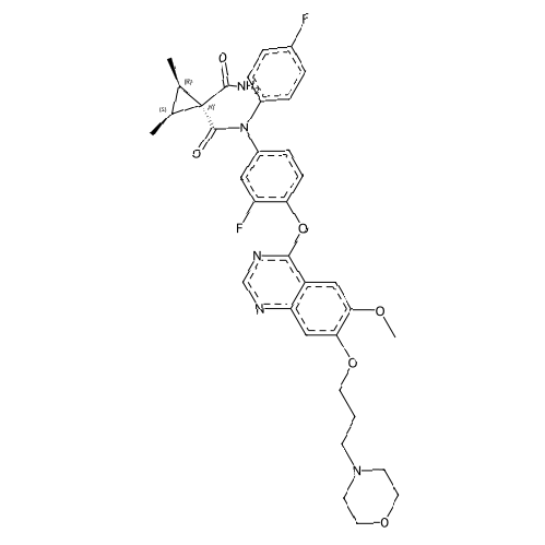 COc1cc2c(Oc3ccc(N(C(=O)[C@@]4(C(N)=O)[C@H](C)[C@@H]4C)c4ccc(F)cc4)cc3F)ncnc2cc1OCCCN1CCOCC1